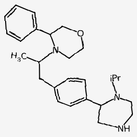 CC(C)N1CCNCC1c1ccc(CC(C)N2CCOCC2c2ccccc2)cc1